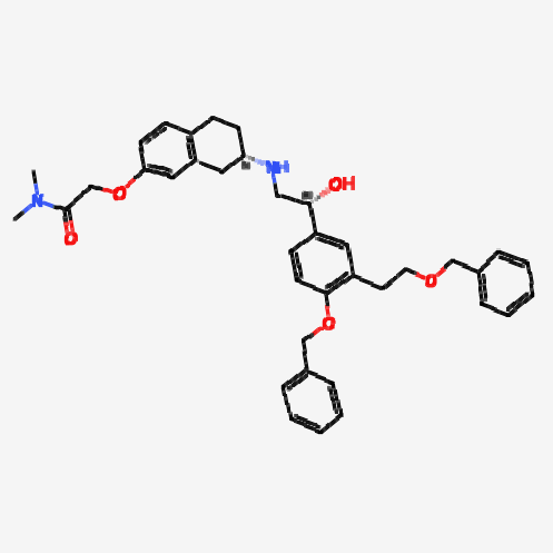 CN(C)C(=O)COc1ccc2c(c1)C[C@@H](NC[C@H](O)c1ccc(OCc3ccccc3)c(CCOCc3ccccc3)c1)CC2